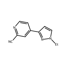 CCn1ccc(-c2ccnc(C#N)c2)n1